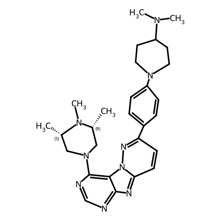 C[C@@H]1CN(c2ncnc3nc4ccc(-c5ccc(N6CCC(N(C)C)CC6)cc5)nn4c23)C[C@H](C)N1C